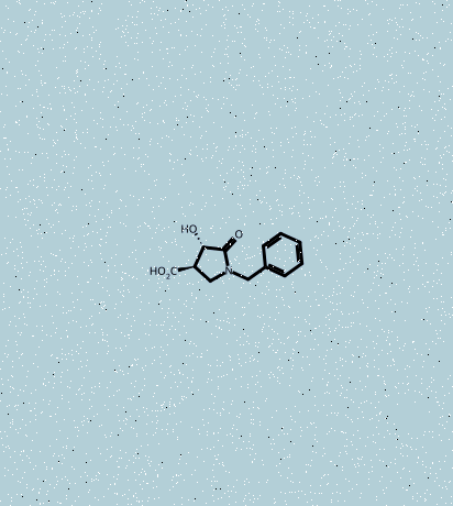 O=C(O)[C@@H]1CN(Cc2ccccc2)C(=O)[C@H]1O